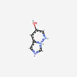 Oc1cnn2cncc2c1